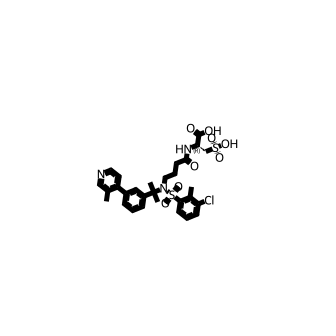 Cc1cnccc1-c1cccc(C(C)(C)N(CCCC(=O)N[C@@H](CS(=O)(=O)O)C(=O)O)S(=O)(=O)c2cccc(Cl)c2C)c1